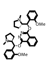 COc1ccccc1[C@@H](Oc1nnc(O[C@H](c2ccccc2OC)[C@@H]2CCCN2C)c2ccccc12)[C@@H]1CCCN1C